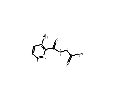 O=C(O)CNC(=O)c1nnccc1O